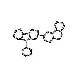 c1ccc(-n2c3ccccc3c3ccc(-c4ccc5ccc6ccccc6c5c4)cc32)cc1